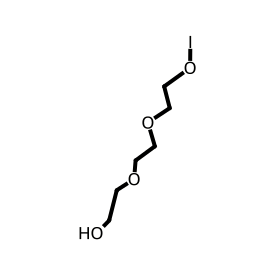 OCCOCCOCCOI